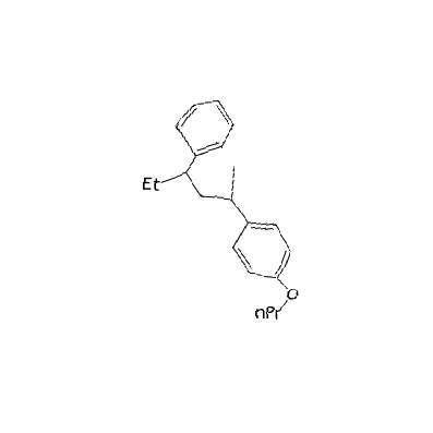 CCCOc1ccc(C(C)CC(CC)c2ccccc2)cc1